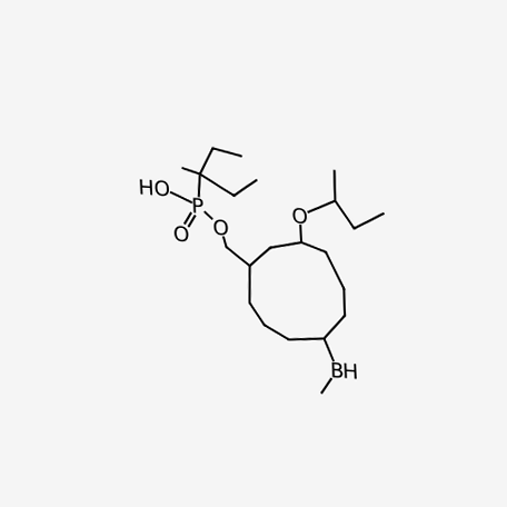 CBC1CCCC(COP(=O)(O)C(C)(CC)CC)CC(OC(C)CC)CCC1